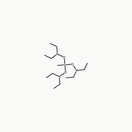 CCN(CC)O[Si](C)(ON(CC)CC)ON(CC)CC